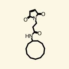 O=C(CCN1C(=O)C=CC1=O)NC1CCCCCCCCCC1